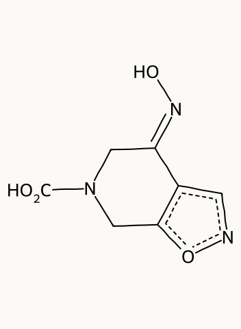 O=C(O)N1CC(=NO)c2cnoc2C1